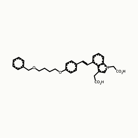 O=C(O)Cc1cn(CC(=O)O)c2cccc(C=Cc3ccc(OCCCCOCc4ccccc4)cc3)c12